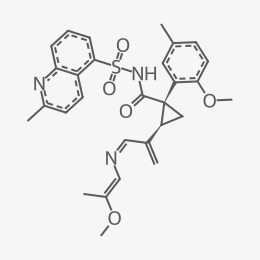 C=C(/C=N\C=C(/C)OC)[C@@H]1C[C@]1(C(=O)NS(=O)(=O)c1cccc2nc(C)ccc12)c1cc(C)ccc1OC